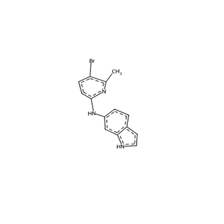 Cc1nc(Nc2ccc3cc[nH]c3c2)ccc1Br